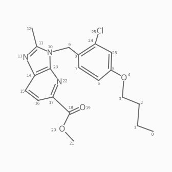 CCCCOc1ccc(Cn2c(C)nc3ccc(C(=O)OC)nc32)c(Cl)c1